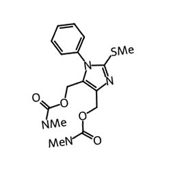 CNC(=O)OCc1nc(SC)n(-c2ccccc2)c1COC(=O)NC